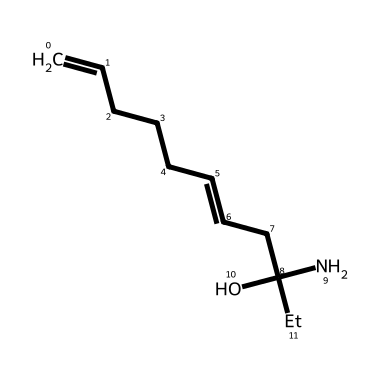 C=CCCCC=CCC(N)(O)CC